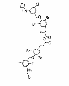 Cc1cc(COc2c(Br)cc(CCC(=O)OC(=O)C(F)Cc3cc(Br)c(OCc4cc(Cl)cc(NC5CCC5)c4)c(Br)c3)cc2Br)c(F)c(NCC2CC2)c1